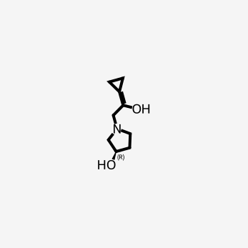 OC(CN1CC[C@@H](O)C1)=C1CC1